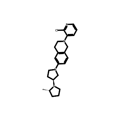 C[C@H]1CCCN1[C@H]1CCN(c2ccc3c(c2)CCN(c2cccnc2Cl)C3)C1